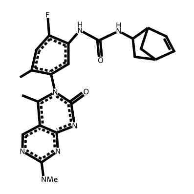 CNc1ncc2c(C)n(-c3cc(NC(=O)NC4CC5C=CC4C5)c(F)cc3C)c(=O)nc2n1